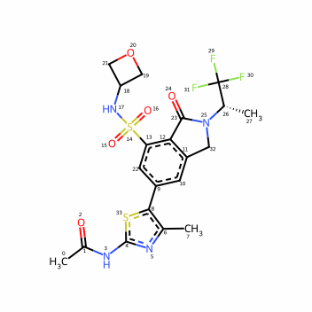 CC(=O)Nc1nc(C)c(-c2cc3c(c(S(=O)(=O)NC4COC4)c2)C(=O)N([C@@H](C)C(F)(F)F)C3)s1